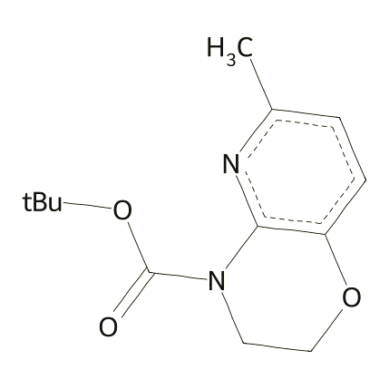 Cc1ccc2c(n1)N(C(=O)OC(C)(C)C)CCO2